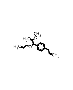 C=CCOC(C(=C)OC)c1ccc(CC=C)cc1